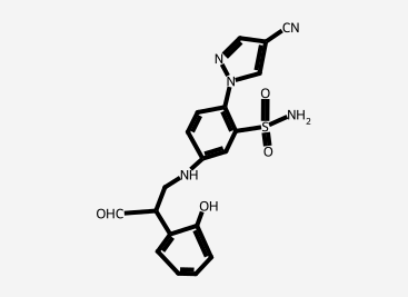 N#Cc1cnn(-c2ccc(NCC(C=O)c3ccccc3O)cc2S(N)(=O)=O)c1